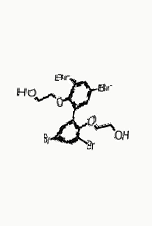 OCCOc1c(Br)cc(Br)cc1-c1cc(Br)cc(Br)c1OCCO